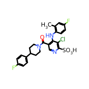 Cc1cc(F)ccc1Nc1c(C(=O)N2CCC(c3ccc(F)cc3)CC2)cnc(S(=O)(=O)O)c1Cl